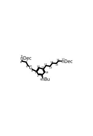 [CH2]CCCc1cc(CCCCCCCCCCCCCCC)cc(CCCCCCCCCCCCCCC)c1